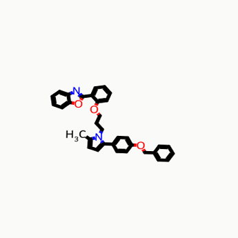 Cc1ccc(-c2ccc(OCc3ccccc3)cc2)n1CCCOc1ccccc1-c1nc2ccccc2o1